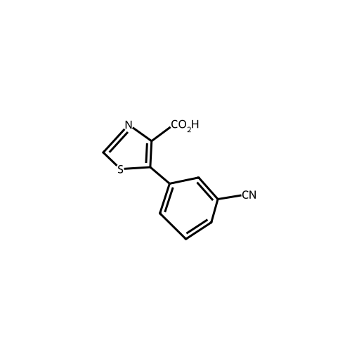 N#Cc1cccc(-c2scnc2C(=O)O)c1